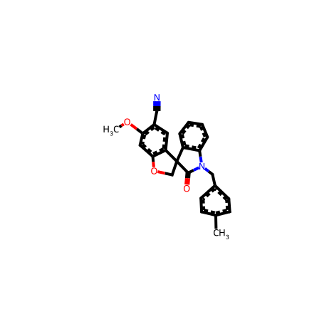 COc1cc2c(cc1C#N)C1(CO2)C(=O)N(Cc2ccc(C)cc2)c2ccccc21